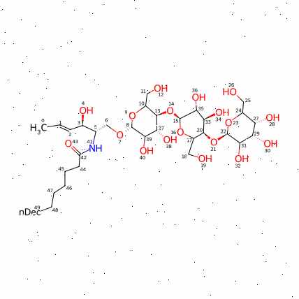 C/C=C/[C@@H](O)[C@H](CO[C@@H]1OC(CO)[C@@H](O[C@@H]2OC(CO)[C@H](O[C@H]3OC(CO)[C@H](O)[C@H](O)C3O)[C@H](O)C2O)[C@H](O)C1O)NC(=O)CCCCCCCCCCCCCCC